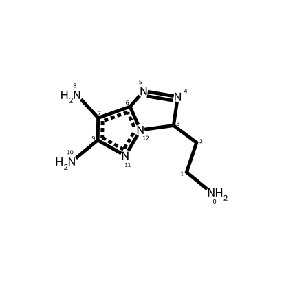 NCCC1N=Nc2c(N)c(N)nn21